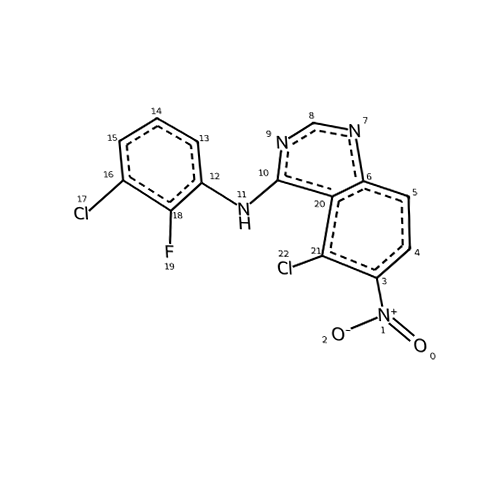 O=[N+]([O-])c1ccc2ncnc(Nc3cccc(Cl)c3F)c2c1Cl